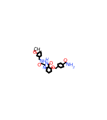 COc1cccc(CNC(=O)c2nc3cccc(OCc4ccc(C(N)=O)cc4)c3c(=O)[nH]2)c1